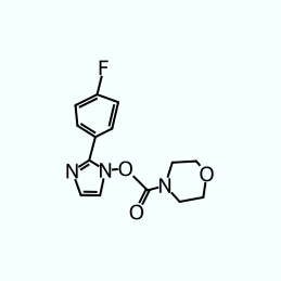 O=C(On1ccnc1-c1ccc(F)cc1)N1CCOCC1